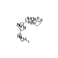 Cn1cc(-c2cnc3c(-c4csc(C(=O)N[C@@H]5CCCC(F)(F)[C@H]5N)c4)cnn3c2)cn1